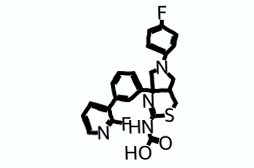 O=C(O)NC1=NC2(c3cccc(-c4cccnc4F)c3)CN(c3ccc(F)cc3)CC2CS1